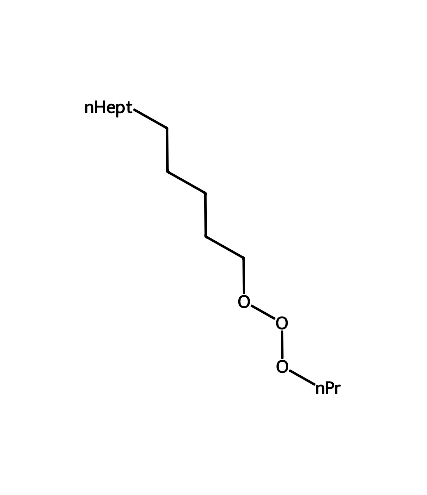 CCCCCCCCCCCCOOOCCC